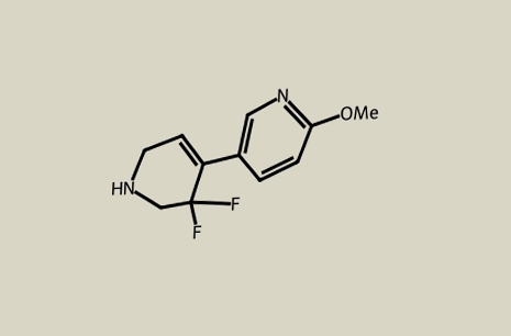 COc1ccc(C2=CCNCC2(F)F)cn1